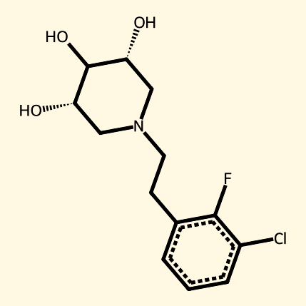 OC1[C@H](O)CN(CCc2cccc(Cl)c2F)C[C@@H]1O